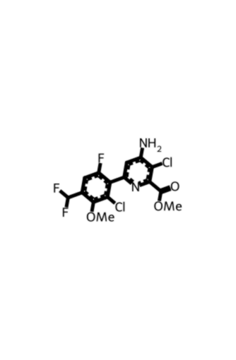 COC(=O)c1nc(-c2c(F)cc(C(F)F)c(OC)c2Cl)cc(N)c1Cl